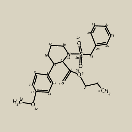 CCCOC(=S)C1C(c2ccc(OC)cc2)CCCN1S(=O)(=O)Cc1ccccc1